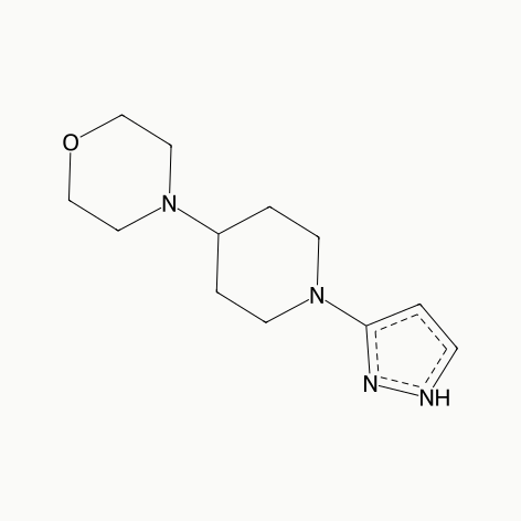 c1cc(N2CCC(N3CCOCC3)CC2)n[nH]1